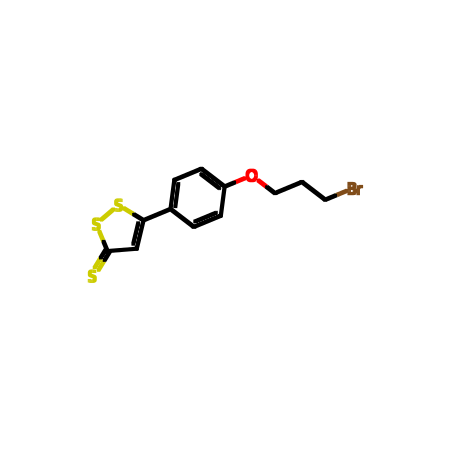 S=c1cc(-c2ccc(OCCCBr)cc2)ss1